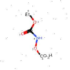 CCOC(=O)NOC(=O)O